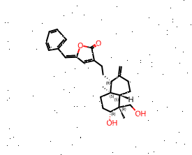 C=C1CC[C@@H]2[C@](C)(CO)[C@H](O)CC[C@@]2(C)[C@@H]1CCC1=CC(=Cc2ccccc2)OC1=O